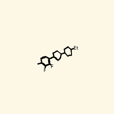 CCC1CCC(C2CCC(c3ccc(C)c(F)c3F)CC2)CC1